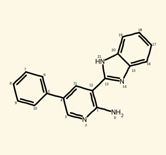 Nc1ncc(-c2ccccc2)cc1-c1nc2ccccc2[nH]1